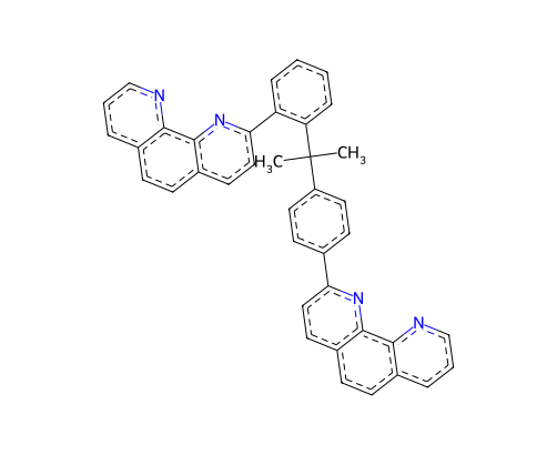 CC(C)(c1ccc(-c2ccc3ccc4cccnc4c3n2)cc1)c1ccccc1-c1ccc2ccc3cccnc3c2n1